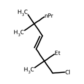 CCCC(C)(C)/C=C/C(C)(CC)CCl